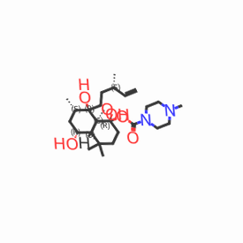 C=C[C@@H](C)CC(=O)[C@@]1(O)[C@@H](C)C[C@@H](O)[C@H]2C(C)(C)CC[C@@](O)(OC(=O)N3CCN(C)CC3)[C@@]21C